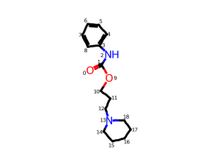 O=C(Nc1ccccc1)OCCCN1CCCCC1